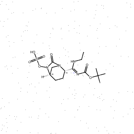 CCN/C(=N\C(=O)OC(C)(C)C)[C@@H]1CC[C@@H]2CN1C(=O)N2OS(=O)(=O)O